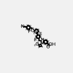 CO[C@@H]1CC[C@@H]1n1c(Cc2cc(F)c(-c3cccc(OCc4ccc(C#N)cc4F)n3)cc2F)nc2ccc(C(=O)O)cc21